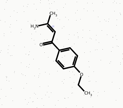 CCOc1ccc(C(=O)/C=C(/C)N)cc1